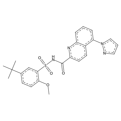 COc1ccc(C(C)(C)C)cc1S(=O)(=O)NC(=O)c1ccc2c(-n3cccn3)cccc2n1